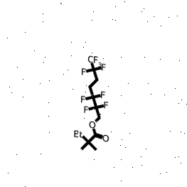 CCC(C)(C)C(=O)OCC(F)(F)C(F)(F)CCC(F)(F)C(F)(F)F